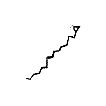 CCCCCCC=CCCCCCCC1CO1